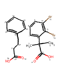 CC(C)(C(=O)O)c1cccc(Br)c1Br.O=C(O)CCc1ccccc1